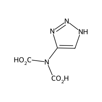 O=C(O)N(C(=O)O)c1c[nH]nn1